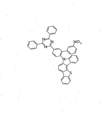 O=[N+]([O-])c1cccc(-c2cc(-c3nc(-c4ccccc4)nc(-c4ccccc4)n3)ccc2-n2c3ccccc3c3c4sc5ccccc5c4ccc32)c1